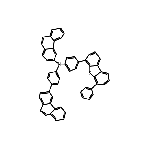 c1ccc(-c2cccc3c2sc2c(-c4ccc(N(c5ccc(-c6ccc7ccc8ccccc8c7c6)cc5)c5ccc6ccc7ccccc7c6c5)cc4)cccc23)cc1